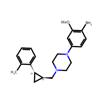 Bc1ccc(N2CCN(C[C@H]3C[C@@H]3c3ccccc3C)CC2)cc1OC